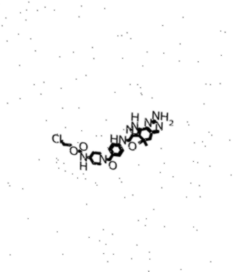 CC1(C)Cc2cnc(N)nc2-c2[nH]nc(C(=O)Nc3ccc(C(=O)N4CCC(NC(=O)OCCCl)CC4)cc3)c21